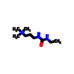 CCNC(=O)NCCC[N+](C)(C)C